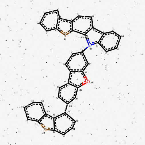 c1ccc2c(c1)sc1c2ccc2c3ccccc3n(-c3ccc4c(c3)oc3cc(-c5cccc6sc7ccccc7c56)ccc34)c21